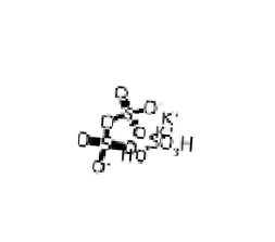 O=S(=O)(O)O.O=S(=O)([O-])OS(=O)(=O)[O-].[K+].[K+]